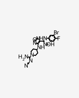 N#CN=C(N)N1CCC(Nc2nonc2C(=NO)Nc2ccc(F)c(Br)c2)CC1